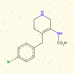 O=C(O)NC1=C(Cc2ccc(Br)cc2)CCNC1